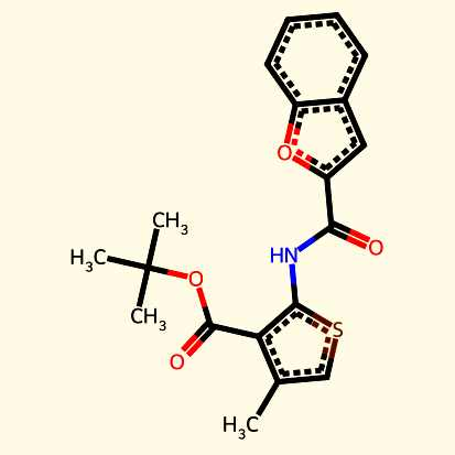 Cc1csc(NC(=O)c2cc3ccccc3o2)c1C(=O)OC(C)(C)C